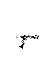 C[Si](C)(C)CCOCn1cc([N+](=O)[O-])c(OCC2CC2)n1